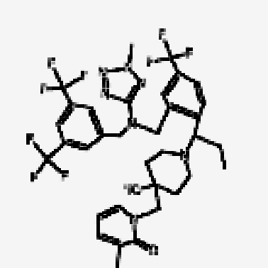 CCC(c1ccc(C(F)(F)F)cc1CN(Cc1cc(C(F)(F)F)cc(C(F)(F)F)c1)c1nnn(C)n1)N1CCC(O)(Cn2cccc(C)c2=O)CC1